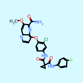 COc1cc2nccc(Oc3ccc(NC(=O)C4(C(=O)Nc5ccc(F)cc5)CC4)cc3Cl)c2nc1C(N)=O